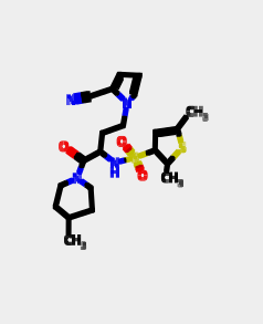 CC1=CC(S(=O)(=O)NC(CCn2cccc2C#N)C(=O)N2CCC(C)CC2)C(C)S1